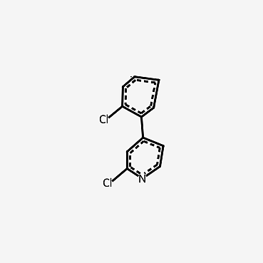 Clc1cc(-c2cc[c]cc2Cl)ccn1